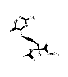 COC(=O)[C@@](C)(CC#CC[C@@H](NC(C)=O)C(=O)O)NC(C)=O